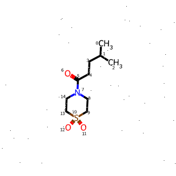 CC(C)CCC(=O)N1CCS(=O)(=O)CC1